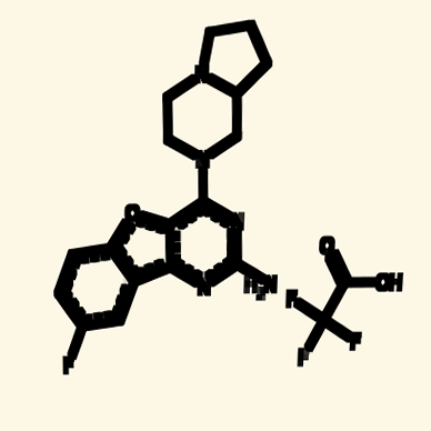 Nc1nc(N2CCN3CCCC3C2)c2oc3ccc(F)cc3c2n1.O=C(O)C(F)(F)F